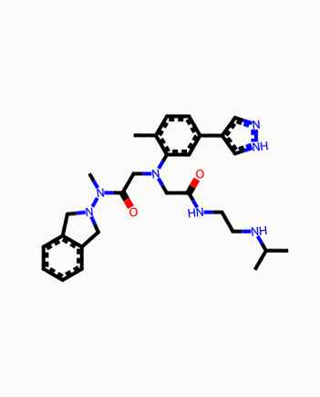 Cc1ccc(-c2cn[nH]c2)cc1N(CC(=O)NCCNC(C)C)CC(=O)N(C)N1Cc2ccccc2C1